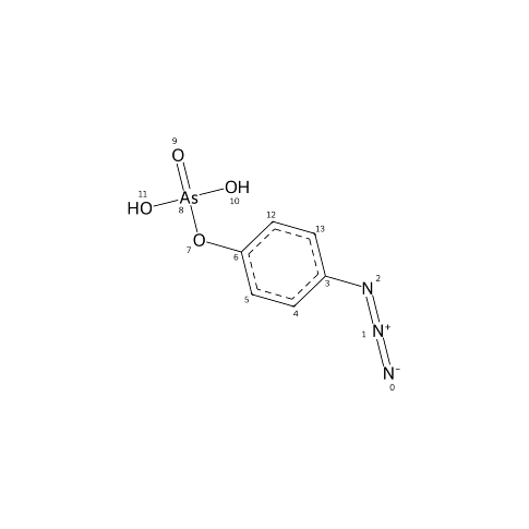 [N-]=[N+]=Nc1ccc(O[As](=O)(O)O)cc1